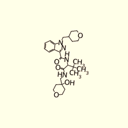 CC(C)(C)C(NC(=O)c1nn(CC2CCOCC2)c2ccccc12)C(=O)NCC1(O)CCOCC1